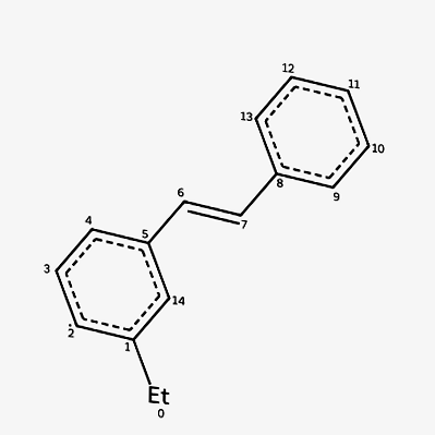 CCc1[c]ccc(C=Cc2ccccc2)c1